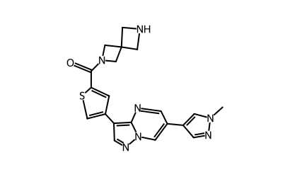 Cn1cc(-c2cnc3c(-c4csc(C(=O)N5CC6(CNC6)C5)c4)cnn3c2)cn1